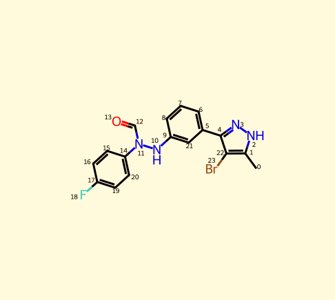 Cc1[nH]nc(-c2cccc(NN(C=O)c3ccc(F)cc3)c2)c1Br